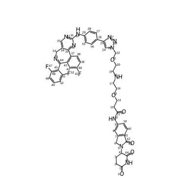 O=C1CCC(N2Cc3cc(NC(=O)CCOCCNCCOCn4cc(-c5ccc(Nc6ncc7c(n6)-c6ccc(F)cc6C(c6c(F)cccc6F)=NC7)cc5)nn4)ccc3C2=O)C(=O)N1